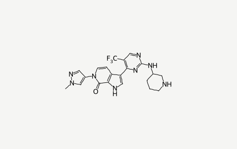 Cn1cc(-n2ccc3c(-c4nc(NC5CCCNC5)ncc4C(F)(F)F)c[nH]c3c2=O)cn1